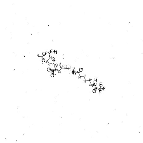 CC(=O)O[C@H]1C[C@H](n2cc(C#CCNC(=O)CCCCCNC(=O)C(F)(F)F)cc2[N+](=O)[O-])O[C@@H]1CO